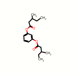 CCC(C)CC(=O)Oc1cccc(OC(=O)CC(C)CC)c1